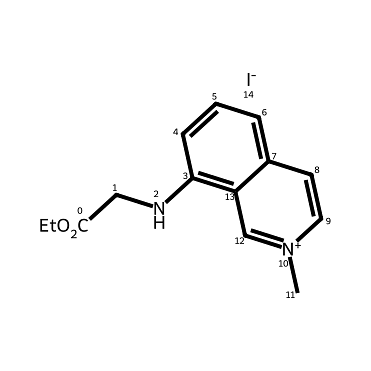 CCOC(=O)CNc1cccc2cc[n+](C)cc12.[I-]